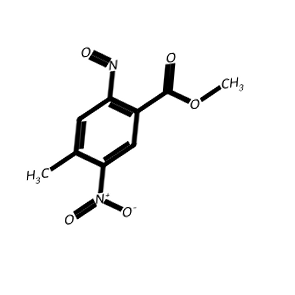 COC(=O)c1cc([N+](=O)[O-])c(C)cc1N=O